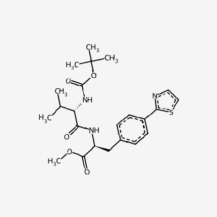 COC(=O)[C@H](Cc1ccc(-c2nccs2)cc1)NC(=O)[C@@H](NC(=O)OC(C)(C)C)C(C)C